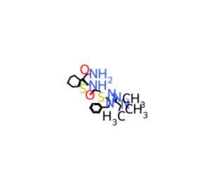 CCC(c1nnc(SCC(=O)Nc2sc3c(c2C(N)=O)CCCC3)n1Cc1ccccc1)N(C)C